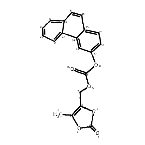 Cc1oc(=O)oc1COC(=O)Oc1ccc2ccc3ccccc3c2c1